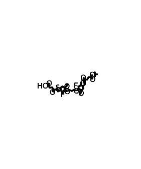 COc1cc2c(c(F)c1OCCCOc1c(OC)cc3sc(C(=O)CCC(=O)O)cc3c1F)CN(C(=O)CCC(=O)OC(C)(C)C)C2